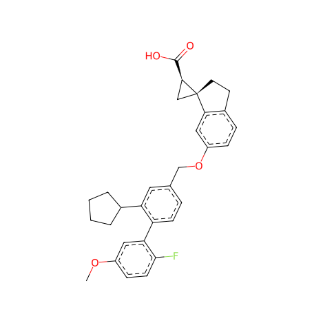 COc1ccc(F)c(-c2ccc(COc3ccc4c(c3)[C@]3(CC4)C[C@H]3C(=O)O)cc2C2CCCC2)c1